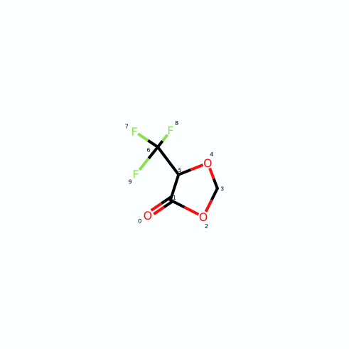 O=C1OCOC1C(F)(F)F